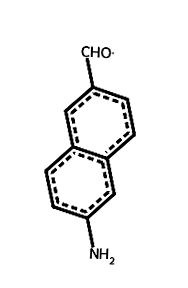 Nc1ccc2cc([C]=O)ccc2c1